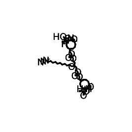 C=C1C(=O)O[C@H]2[C@H]1CC/C(COC(=O)OCCC(CCOC(=O)OC/C1=C/CC[C@@]3(C)O[C@H]3[C@H]3OC(O)C(=C)[C@@H]3CC1)OCCCCCCCCCCN=[N+]=[N-])=C\CC[C@@]1(C)O[C@@H]21